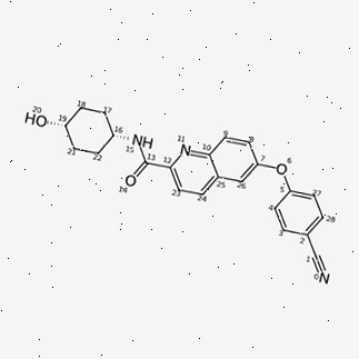 N#Cc1ccc(Oc2ccc3nc(C(=O)N[C@H]4CC[C@@H](O)CC4)ccc3c2)cc1